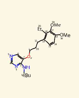 CCCCNc1ncncc1OCCCc1ccc(OC)c(OC)c1CC